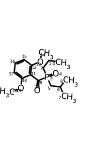 CCCP(=O)(CC(C)C)C(=O)c1c(OC)cccc1OC